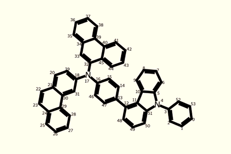 c1ccc(-n2c3ccccc3c3c(-c4ccc(N(c5ccc6ccc7ccccc7c6c5)c5cc6ccccc6c6ccccc56)cc4)cccc32)cc1